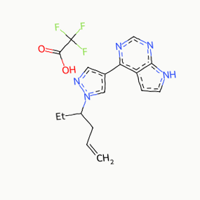 C=CCC(CC)n1cc(-c2ncnc3[nH]ccc23)cn1.O=C(O)C(F)(F)F